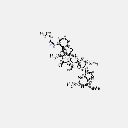 C=C/C=C\c1cccc(OP(=O)(N[C@H](C)C(=O)OC(C)C)OC[C@]2(F)C[C@H](C)[C@H](n3cnc4c(NC)nc(N)nc43)O2)c1C